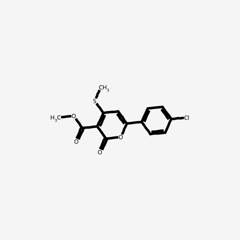 COC(=O)c1c(SC)cc(-c2ccc(Cl)cc2)oc1=O